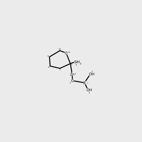 OB(O)[O][Zn][C]1([SiH3])CCCCO1